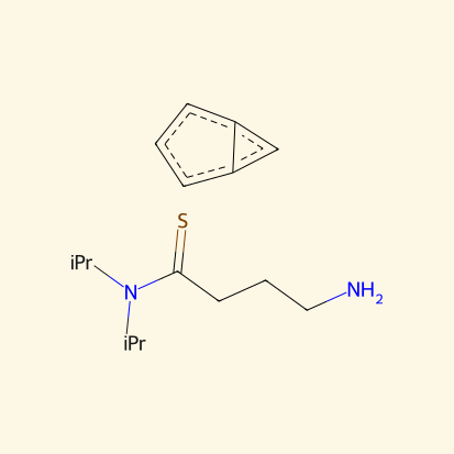 CC(C)N(C(=S)CCCN)C(C)C.c1cc2cc-2c1